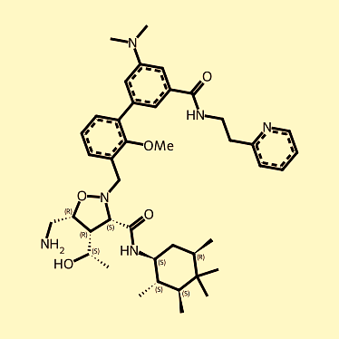 COc1c(CN2O[C@@H](CN)[C@@H]([C@H](C)O)[C@H]2C(=O)N[C@H]2C[C@@H](C)C(C)(C)[C@@H](C)[C@@H]2C)cccc1-c1cc(C(=O)NCCc2ccccn2)cc(N(C)C)c1